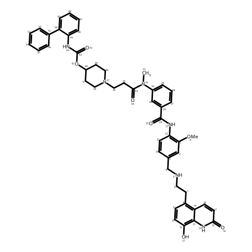 COc1cc(CNCCc2ccc(O)c3[nH]c(=O)ccc23)ccc1NC(=O)c1cccc(N(C)C(=O)CCN2CCC(OC(=O)Nc3ccccc3-c3ccccc3)CC2)c1